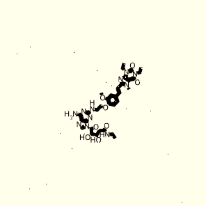 CCNC(=O)C1O[C@@H](n2cnc3c(N)nc(NCCOc4ccc(/C=C/c5nc6c(c(=O)n(CC)c(=O)n6CC)n5C)cc4OC)nc32)C(O)[C@@H]1O